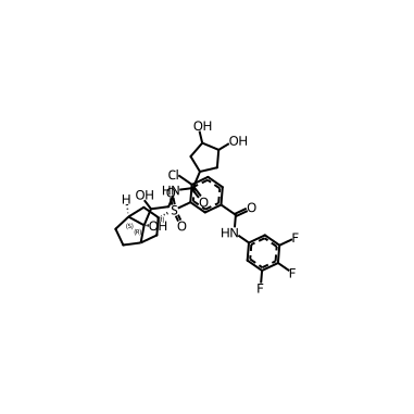 O=C(Nc1cc(F)c(F)c(F)c1)c1ccc(Cl)c(S(=O)(=O)[C@@H]2CC3CC[C@@H](C2)[C@@]3(O)C(O)CNC(=O)C2CC(O)C(O)C2)c1